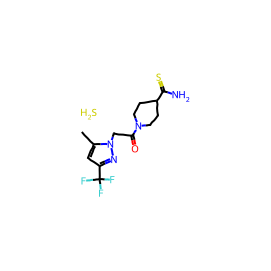 Cc1cc(C(F)(F)F)nn1CC(=O)N1CCC(C(N)=S)CC1.S